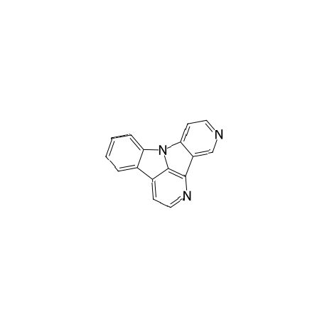 c1ccc2c(c1)c1ccnc3c4cnccc4n2c13